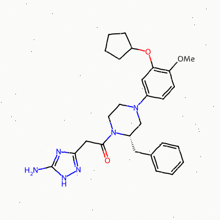 COc1ccc(N2CCN(C(=O)Cc3n[nH]c(N)n3)[C@@H](Cc3ccccc3)C2)cc1OC1CCCC1